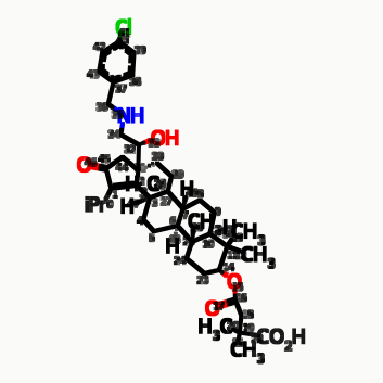 CC(C)C1=C2[C@H]3CC[C@H]4[C@@H](CC[C@H]5C(C)(C)[C@@H](OC(=O)CC(C)(C)C(=O)O)CC[C@]45C)[C@]3(C)CC[C@@]2([C@H](O)CNCc2ccc(Cl)cc2)CC1=O